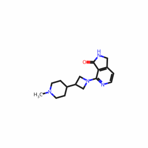 CN1CCC(C2CN(c3nccc4c3C(=O)NC4)C2)CC1